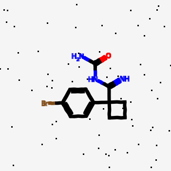 N=C(NC(N)=O)C1(c2ccc(Br)cc2)CCC1